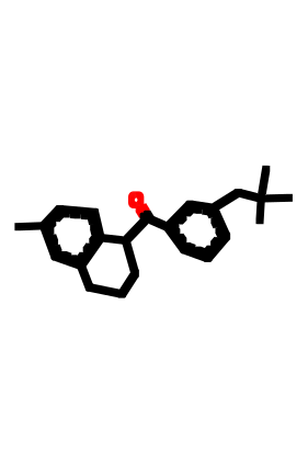 Cc1ccc2c(c1)CCCC2C(=O)c1cccc(CC(C)(C)C)c1